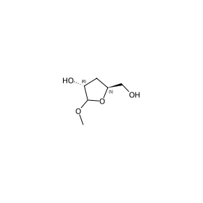 COC1O[C@H](CO)C[C@H]1O